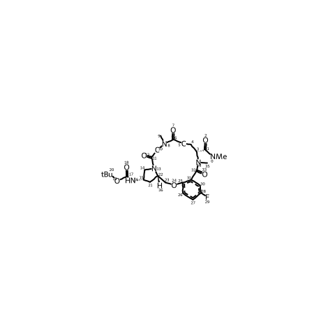 CNC(=O)[C@H]1CCC(=O)N(C)CC(=O)N2C[C@@H](NC(=O)OC(C)(C)C)C[C@H]2COc2ccc(F)cc2C(=O)N1C